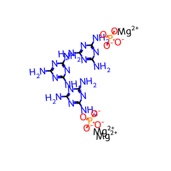 Nc1nc(N)nc(N)n1.Nc1nc(N)nc(N)n1.Nc1nc(N)nc(N)n1.O=P([O-])([O-])[O-].O=P([O-])([O-])[O-].[Mg+2].[Mg+2].[Mg+2]